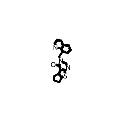 O=c1c2c3c(sc2ncn1Cc1cccc2cccnc12)CCC3